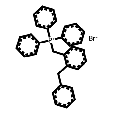 [Br-].c1ccc(Cc2ccccc2C[P+](c2ccccc2)(c2ccccc2)c2ccccc2)cc1